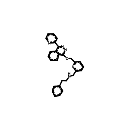 c1ccc(CCNCc2cccc(COc3nnc(-c4ccccn4)c4ccccc34)n2)cc1